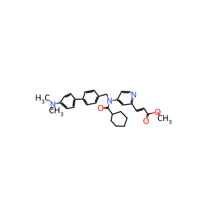 COC(=O)/C=C/c1cc(N(Cc2ccc(-c3ccc(N(C)C)cc3)cc2)C(=O)C2CCCCC2)ccn1